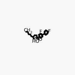 C=CCCCCC1CCC(C(=O)O)(c2ccc(-c3ccc(F)cc3)c(F)c2)CC1